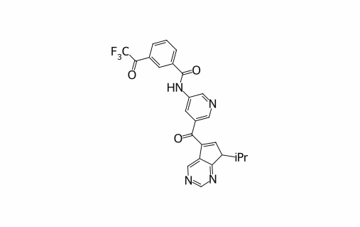 CC(C)C1C=C(C(=O)c2cncc(NC(=O)c3cccc(C(=O)C(F)(F)F)c3)c2)c2cncnc21